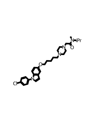 CC(C)N(C)C(=O)CN1CCN(CCCCCOc2ccc3c(ccn3-c3ccc(Cl)cc3)c2)CC1